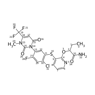 CCC(Oc1ncccc1Sc1cc(-n2c(=O)cc(C(F)(F)F)n(C)c2=O)c(F)cc1Cl)C(N)=O